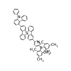 Cc1cc(C)c(B(c2ccc(-c3ccc4c(c3)-c3ccccc3[Si]43c4ccccc4-c4cc(-c5cccc6c5c5ccccc5n6-c5ccccc5)ccc43)cc2)c2c(C)cc(C)cc2C)c(C)c1